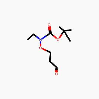 CCN(OCCC=O)C(=O)OC(C)(C)C